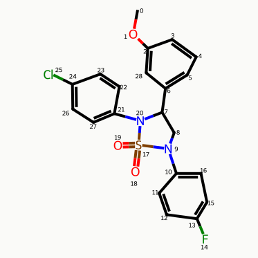 COc1cccc(C2CN(c3ccc(F)cc3)S(=O)(=O)N2c2ccc(Cl)cc2)c1